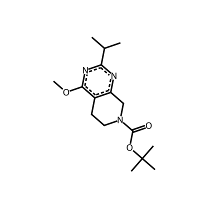 COc1nc(C(C)C)nc2c1CCN(C(=O)OC(C)(C)C)C2